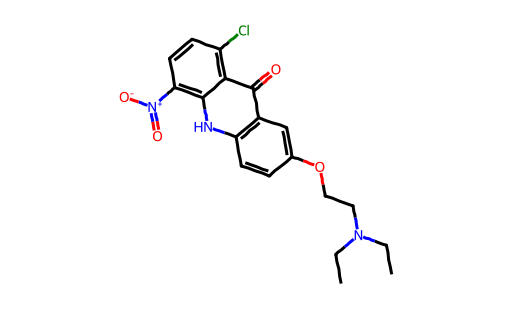 CCN(CC)CCOc1ccc2[nH]c3c([N+](=O)[O-])ccc(Cl)c3c(=O)c2c1